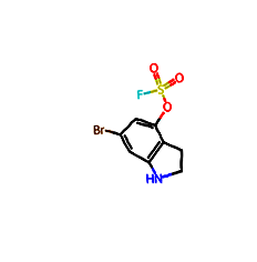 O=S(=O)(F)Oc1cc(Br)cc2c1CCN2